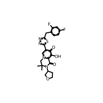 CC1(C)Cn2cc(-c3nnc(Cc4ccc(F)cc4F)s3)c(=O)c(O)c2C(=O)N1C1CCOC1